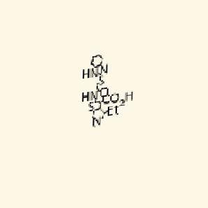 CCC1CN(C)Cc2sc(NC(=O)CSc3nc4ccccc4[nH]3)c(C(=O)O)c21